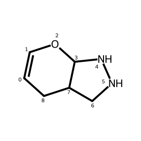 C1=COC2NNCC2C1